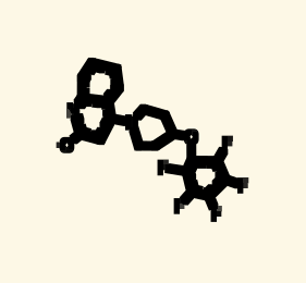 [O]c1cc(N2CCC(Oc3c(F)c(F)c(F)c(F)c3F)CC2)c2ccccc2n1